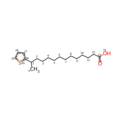 CC(CCCCCCCCCCCC(=O)O)c1cccs1